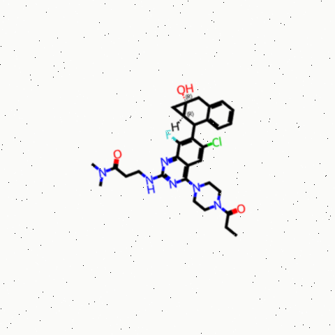 CCC(=O)N1CCN(c2nc(NCCC(=O)N(C)C)nc3c(F)c(C4c5ccccc5C[C@]5(O)C[C@H]45)c(Cl)cc23)CC1